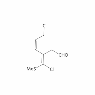 CS/C(Cl)=C(\C=C/CCl)CC=O